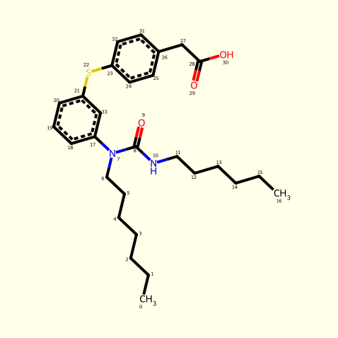 CCCCCCCN(C(=O)NCCCCCC)c1cccc(Sc2ccc(CC(=O)O)cc2)c1